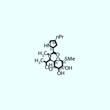 CCC[C@H]1CN[C@H](C(=O)N(C)C(C(C)Cl)[C@H]2O[C@H](SC)[C@H](O)[C@@H](O)[C@@H]2O)C1